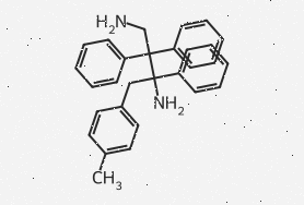 Cc1ccc(CC(N)(c2ccccc2)C(CN)(c2ccccc2)c2ccccc2)cc1